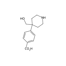 O=C(O)c1ccc(C2(CO)CCNCC2)cc1